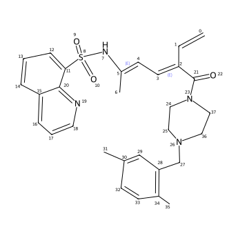 C=C/C(=C\C=C(/C)NS(=O)(=O)c1cccc2cccnc12)C(=O)N1CCN(Cc2cc(C)ccc2C)CC1